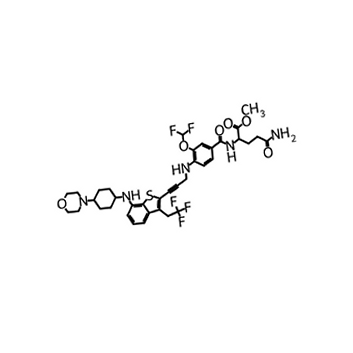 COC(=O)C(CCC(N)=O)NC(=O)c1ccc(NCC#Cc2sc3c(NC4CCC(N5CCOCC5)CC4)cccc3c2CC(F)(F)F)c(OC(F)F)c1